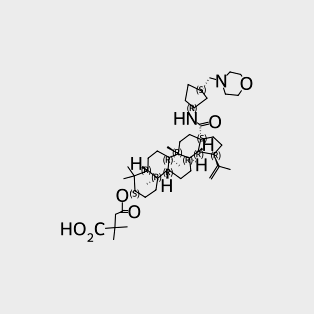 C=C(C)[C@@H]1CC[C@]2(C(=O)N[C@@H]3CC[C@H](CN4CCOCC4)C3)CC[C@]3(C)[C@H](CC[C@@H]4[C@@]5(C)CC[C@H](OC(=O)CC(C)(C)C(=O)O)C(C)(C)[C@@H]5CC[C@]43C)[C@@H]12